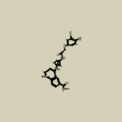 COC(=O)c1ccc2c(c1)C(NC13CC(C1)C(NC(=O)COc1ccc(Cl)c(F)c1)C3)CCN2